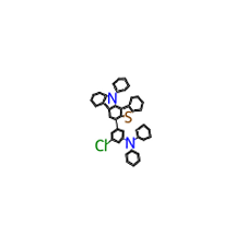 Clc1cc(-c2cc3c4ccccc4n(-c4ccccc4)c3c3c2sc2ccccc23)cc(N(c2ccccc2)c2ccccc2)c1